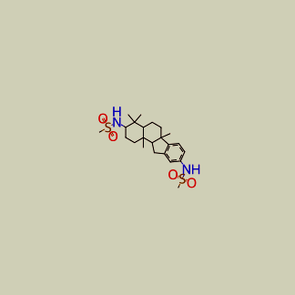 CC12CCC3C(C)(C)C(NS(C)(=O)=O)CCC3(C)C1Cc1cc(NS(C)(=O)=O)ccc12